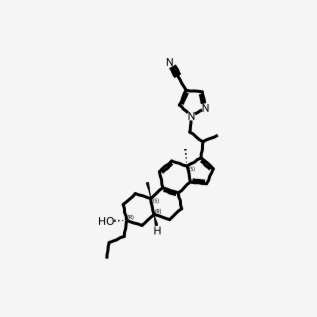 CCC[C@@]1(O)CC[C@]2(C)C3=C(CC[C@@H]2C1)C1=CC=C(C(C)Cn2cc(C#N)cn2)[C@]1(C)C=C3